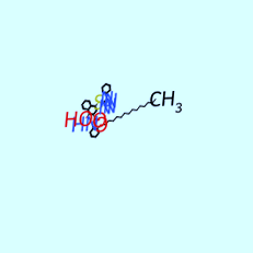 CCCCCCCCCCCCCCOc1ccccc1NC(=O)c1cc(Sc2nnnn2-c2ccccc2)c2ccccc2c1O